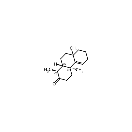 C[C@@H]1C(=O)CC[C@]2(C)C3=CCCCC3(C)CC[C@@H]12